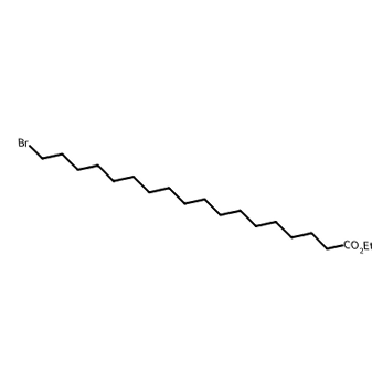 CCOC(=O)CCCCCCCCCCCCCCCCCBr